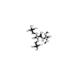 COP(=O)(NC(=O)P(=O)(OCC(F)(F)F)OCC(F)(F)F)OC